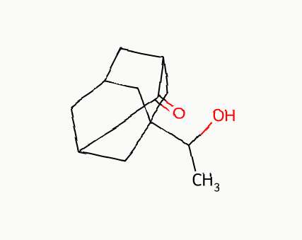 CC(O)C12CC3CC(C1)C(=O)C(C3)C2